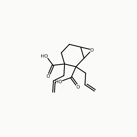 C=CCC1(C(=O)O)CCC2OC2C1(CC=C)C(=O)O